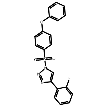 O=S(=O)(c1ccc(Oc2ccccc2)cc1)n1cc(-c2ccccc2F)nn1